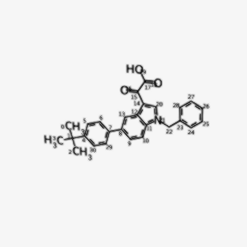 CC(C)(C)c1ccc(-c2ccc3c(c2)c(C(=O)C(=O)O)cn3Cc2ccccc2)cc1